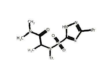 CCN(C(C)C(=O)N(C)C)S(=O)(=O)c1nc(C(C)C)n[nH]1